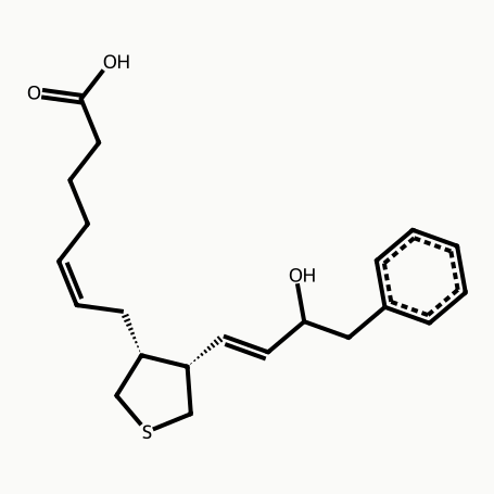 O=C(O)CCC/C=C\C[C@H]1CSC[C@H]1/C=C/C(O)Cc1ccccc1